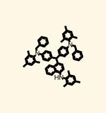 Cc1cc(C)c(Nc2ccc(C(c3ccc(N(Cc4ccccc4)c4c(C)cc(C)cc4C)cc3)c3ccc(N(Cc4ccccc4)c4c(C)cc(C)cc4C)cc3)c3ccccc23)c(C)c1